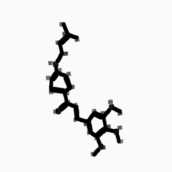 COc1cc(/C=C/C(=O)c2ccc(OCC=C(C)C)cc2)cc(OC)c1OC